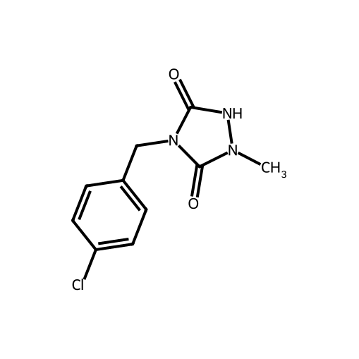 Cn1[nH]c(=O)n(Cc2ccc(Cl)cc2)c1=O